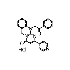 Cl.O=C(CN1c2ccccc2Cn2c1nc(-c1ccncc1)cc2=O)c1ccccc1